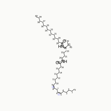 CCCCC/C=C\C/C=C\CCCCCCCC(=O)NCCCC[C@H](NC(=O)CCCCCCCCCCCCC)C(C)C